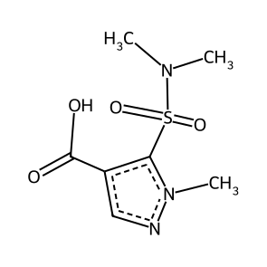 CN(C)S(=O)(=O)c1c(C(=O)O)cnn1C